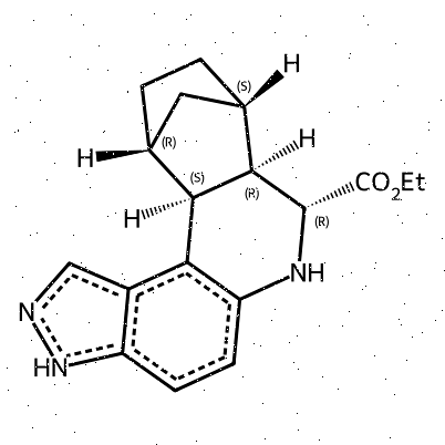 CCOC(=O)[C@@H]1Nc2ccc3[nH]ncc3c2[C@H]2[C@@H]3CC[C@@H](C3)[C@H]21